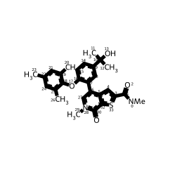 CNC(=O)c1cc2c(-c3cc(C(C)(C)O)ccc3Oc3c(C)cc(C)cc3C)cn(C)c(=O)c2s1